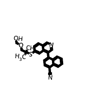 CC(C)(COCO)Sc1ccc2cncc(-c3ccc(C#N)c4ccccc34)c2c1